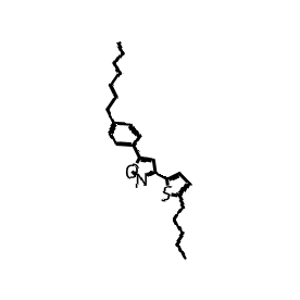 CCCCCCCc1ccc(-c2cc(-c3ccc(CCCCC)s3)no2)cc1